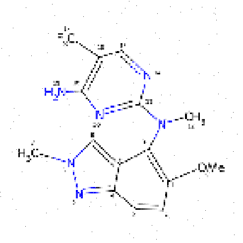 COc1ccc2nn(C)cc2c1N(C)c1ncc(C(F)(F)F)c(N)n1